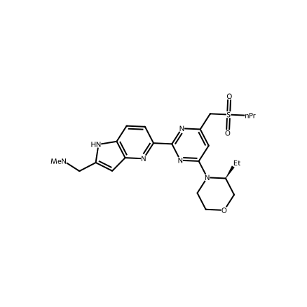 CCCS(=O)(=O)Cc1cc(N2CCOC[C@@H]2CC)nc(-c2ccc3[nH]c(CNC)cc3n2)n1